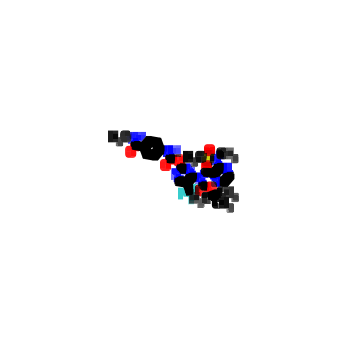 CNC(=O)c1ccc(NC(=O)Oc2ncc(C(F)(F)F)c(N(Cc3nccnc3N(C)S(C)(=O)=O)C(=O)OC(C)(C)C)n2)cc1